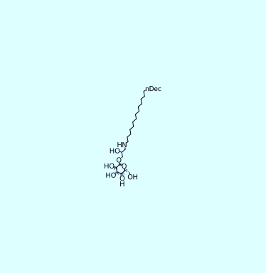 CCCCCCCCCCCCCCCCCCCCCCCCNCC(O)CO[C@H]1O[C@H](CO)[C@H](O)[C@H](O)[C@H]1O